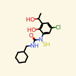 CC(O)c1cc(Cl)cc(N(S)C(=O)NCC2CCCCC2)c1O